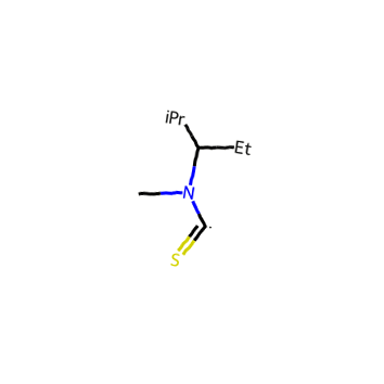 CCC(C(C)C)N(C)[C]=S